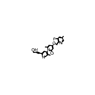 Cc1cnc(COc2cc(C)n(-c3cc(C#CCO)ncc3C)c(=O)c2)c(F)c1